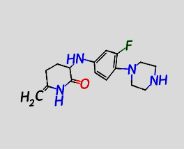 C=C1CCC(Nc2ccc(N3CCNCC3)c(F)c2)C(=O)N1